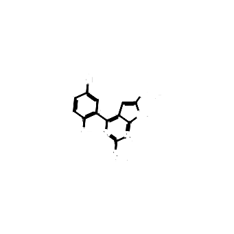 CCOC(=O)c1cc2c(-c3cc(C=O)ccc3C)nc(N)nc2s1